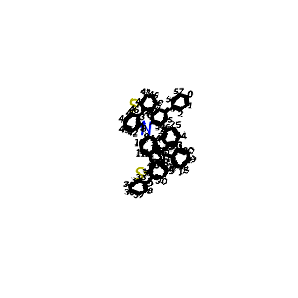 c1ccc(-c2ccc(N(c3ccc4c(c3)[Si](c3ccccc3)(c3ccccc3)c3ccc5c(sc6ccccc65)c3-4)c3cccc4sc5ccccc5c34)cc2)cc1